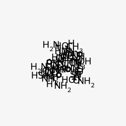 C[C@@H](O)[C@H](NC(=O)[C@H](Cc1ccccc1)NC(=O)[C@@H](NC(=O)[C@H](CCCCN)NC(=O)[C@@H](Cc1c[nH]c2ccccc12)NC(=O)[C@H](Cc1ccccc1)NC(=O)[C@H](Cc1ccccc1)NC(=O)[C@H](CC(N)=O)NC(=O)[C@H](CCCCN)NC(=O)[C@@H](N)CS)[C@@H](C)O)C(=O)N[C@@H](CO)C(=O)N[C@@H](CS)C(=O)N(CCN)CC(=O)O